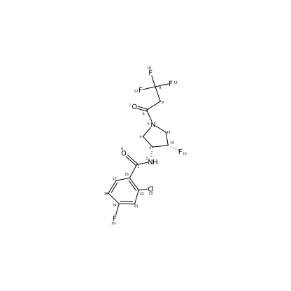 O=C(N[C@@H]1CN(C(=O)CC(F)(F)F)C[C@@H]1F)c1ccc(F)cc1Cl